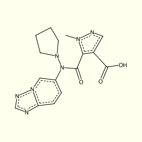 Cn1ncc(C(=O)O)c1C(=O)N(c1ccc2ncnn2c1)N1CCCC1